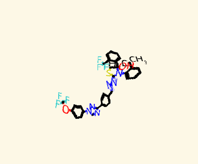 CC(C)c1ccccc1N1/C(=N/N=C/c2ccc(-c3ncn(-c4ccc(OC(F)(F)F)cc4)n3)cc2)SCC1(O)c1ccccc1C(F)(F)F